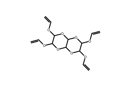 C=COC1OC2OC(OC=C)C(OC=C)OC2OC1OC=C